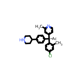 CC(=O)[C@](c1ccc(C2CCNCC2)cc1)(c1ccnc(C)c1)c1ccc(Cl)cc1C